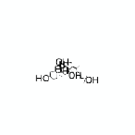 C[C@H](CCCC(C)(C)O)[C@H]1CC[C@H]2[C@@H]3C(O)C=C4C[C@@H](O)CC[C@]4(C)[C@H]3CC(O)[C@]12C